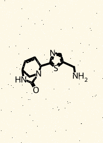 NCc1cnc(C2C=CC3CN2C(=O)N3)s1